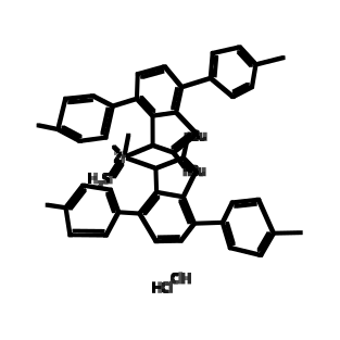 CCCCC1=Cc2c(-c3ccc(C)cc3)ccc(-c3ccc(C)cc3)c2[CH]1[Zr]([CH3])([CH3])(=[SiH2])[CH]1C(CCCC)=Cc2c(-c3ccc(C)cc3)ccc(-c3ccc(C)cc3)c21.Cl.Cl